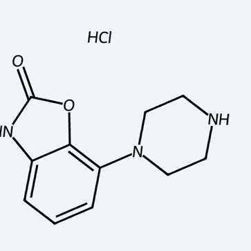 Cl.O=c1[nH]c2cccc(N3CCNCC3)c2o1